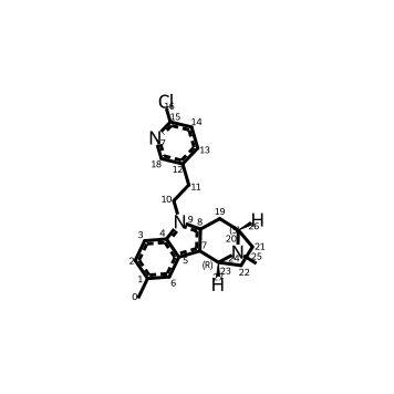 Cc1ccc2c(c1)c1c(n2CCc2ccc(Cl)nc2)C[C@@H]2CC[C@H]1N2C